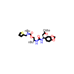 CCCC[C@@H](COC(=O)N(CCCC)Cc1cccs1)NC(=O)N[C@@H](CC(=O)OC)c1ccc2c(c1)OCO2